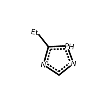 CCc1ncn[pH]1